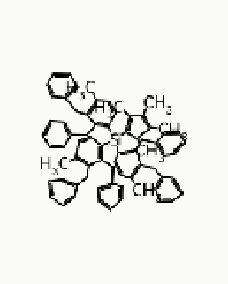 CC1=C(C)C(C)C([Si](c2ccc(C)c(Cc3ccccc3)c2Cc2ccccc2)(c2ccc(C)c(Cc3ccccc3)c2Cc2ccccc2)c2ccc(C)c(Cc3ccccc3)c2Cc2ccccc2)=C1C